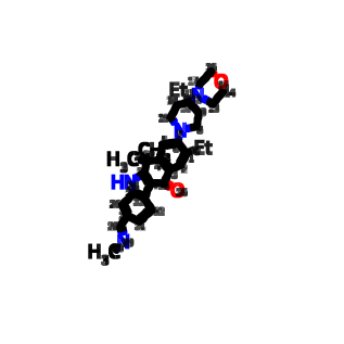 CCc1cc2c(cc1N1CCC(CC)(N3CCOCC3)CC1)C(C)(C)c1[nH]c3cc(/C=N/C)ccc3c1C2=O